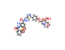 O=C(NCc1cnc(-c2ccc(OCCCN3CCOC[C@H]3C(=O)O)cc2)s1)c1ccc2c(c1)NC(=O)c1ccccc1S2(=O)=O